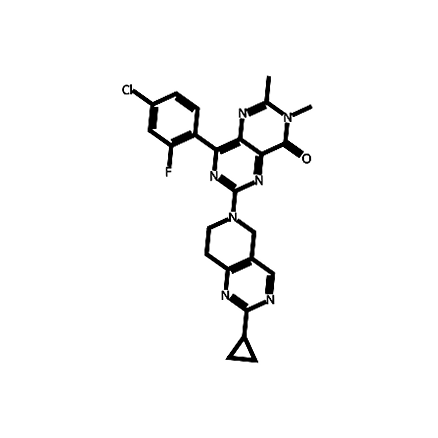 Cc1nc2c(-c3ccc(Cl)cc3F)nc(N3CCc4nc(C5CC5)ncc4C3)nc2c(=O)n1C